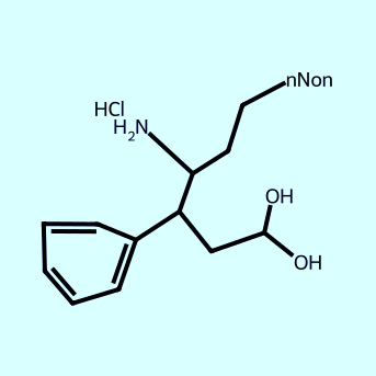 CCCCCCCCCCCC(N)C(CC(O)O)c1ccccc1.Cl